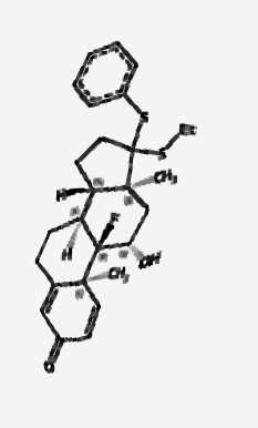 CCSC1(Sc2ccccc2)CC[C@H]2[C@@H]3CCC4=CC(=O)C=C[C@]4(C)[C@@]3(F)[C@@H](O)C[C@@]21C